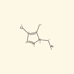 Cc1c(Cl)[c]nn1CC(C)C